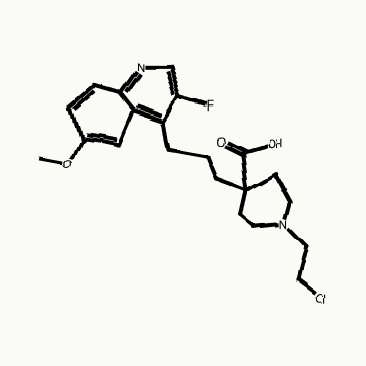 COc1ccc2ncc(F)c(CCCC3(C(=O)O)CCN(CCCl)CC3)c2c1